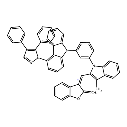 C=c1oc2ccccc2/c1=C/c1c(C)c2ccccc2n1-c1cccc(-n2c3ccccc3c3c(-n4nnc(-c5ccccc5)c4-c4ccccc4)cccc32)c1